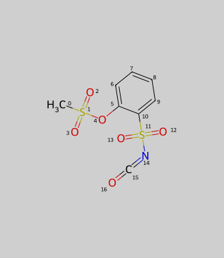 CS(=O)(=O)Oc1ccccc1S(=O)(=O)N=C=O